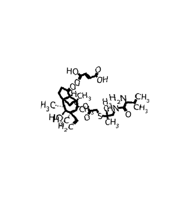 C=C[C@]1(C)C[C@@H](OC(=O)CSC(C)(C)CNC(=O)[C@H](N)C(C)C)[C@]2(C)[C@H](C)CC[C@]3(CCC(=O)[C@H]32)[C@@H](C)[C@@H]1O.O=C(O)/C=C/C(=O)O